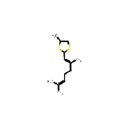 CC(C)=CCC/C(C)=C/C1SCC(C)S1